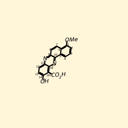 COc1cccc2c1ccc1nc3ccc(O)c(C(=O)O)c3nc12